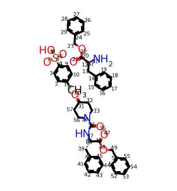 Cc1ccc(S(=O)(=O)O)cc1.N[C@@H](Cc1ccccc1)C(=O)OCc1ccccc1.O=C1CCN(C(=O)N[C@@H](Cc2ccccc2)C(=O)OCc2ccccc2)CC1